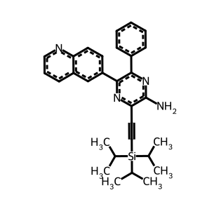 CC(C)[Si](C#Cc1nc(-c2ccc3ncccc3c2)c(-c2ccccc2)nc1N)(C(C)C)C(C)C